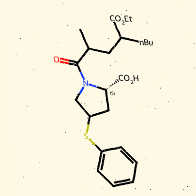 CCCCC(CC(C)C(=O)N1CC(Sc2ccccc2)C[C@H]1C(=O)O)C(=O)OCC